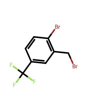 FC(F)(F)c1ccc(Br)c(CBr)c1